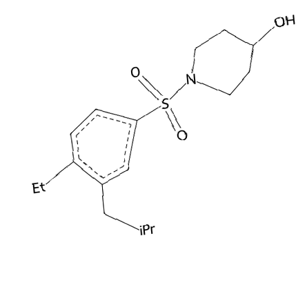 CCc1ccc(S(=O)(=O)N2CCC(O)CC2)cc1CC(C)C